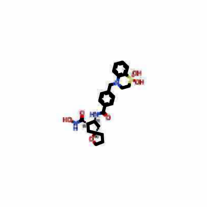 O=C(N[C@@H]1C[C@@]2(CCCO2)C[C@@H]1C(=O)NO)c1ccc(CN2CCS(O)(O)c3ccccc32)cc1